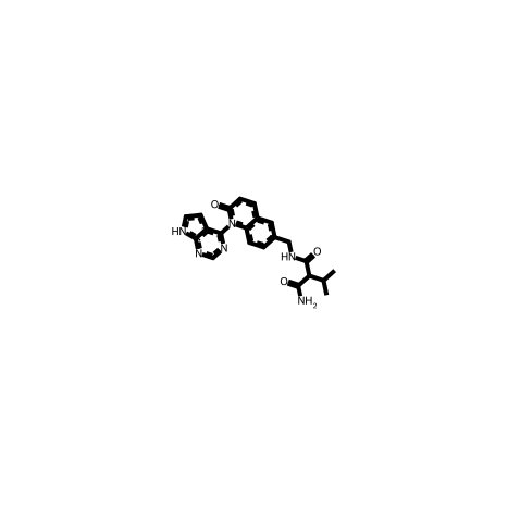 CC(C)C(C(N)=O)C(=O)NCc1ccc2c(ccc(=O)n2-c2ncnc3[nH]ccc23)c1